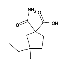 CCC1(C)CCC(C(N)=O)(C(=O)O)C1